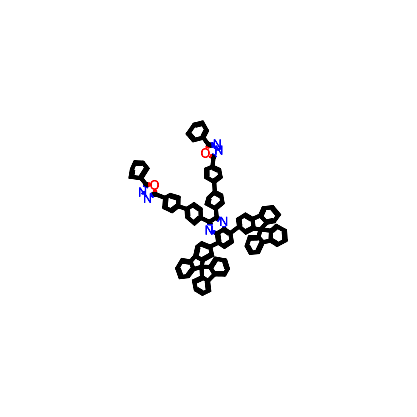 c1ccc(-c2nnc(-c3ccc(-c4ccc(-c5nc6c(-c7ccc8c(c7)C7(c9ccccc9-c9ccccc97)c7ccccc7-8)ccc(-c7ccc8c(c7)C7(c9ccccc9-c9ccccc97)c7ccccc7-8)c6nc5-c5ccc(-c6ccc(-c7nnc(-c8ccccc8)o7)cc6)cc5)cc4)cc3)o2)cc1